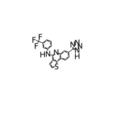 FC(F)(F)c1cccc(Nc2nc3cc(-c4nnn[nH]4)ccc3c3sccc23)c1